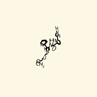 COCCOCCn1cc(NC(=O)c2cccc(-c3cc[nH]n3)n2)c(-c2ccccn2)n1